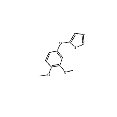 COc1ccc(Oc2c[c]cs2)cc1OC